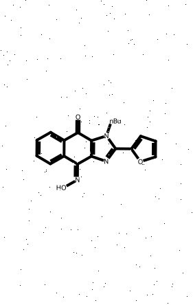 CCCCn1c(-c2ccco2)nc2c1C(=O)c1ccccc1/C2=N\O